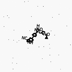 N#Cc1c[nH]c2ccc(-c3ccc(-c4n[nH]c(=O)n4C[C@@H]4CCN(C(=O)C5CC5)C4)cc3)cc12